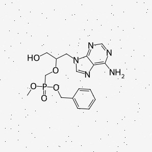 COP(=O)(COC(CO)Cn1cnc2c(N)ncnc21)OCc1ccccc1